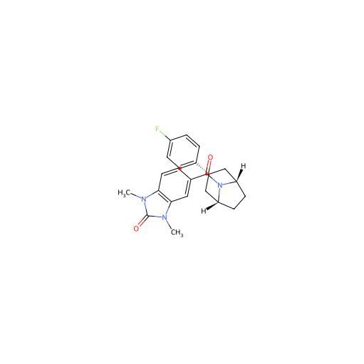 Cn1c(=O)n(C)c2cc(C(=O)N3[C@@H]4CC[C@H]3C[C@@H](c3ccc(F)cc3)C4)ccc21